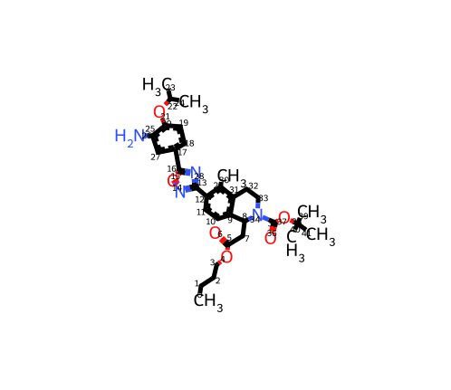 CCCCOC(=O)CC1c2ccc(-c3noc(-c4ccc(OC(C)C)c(N)c4)n3)c(C)c2CCN1C(=O)OC(C)(C)C